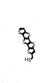 SCc1cc2sc3c(sc4c5sccc5sc43)c2s1